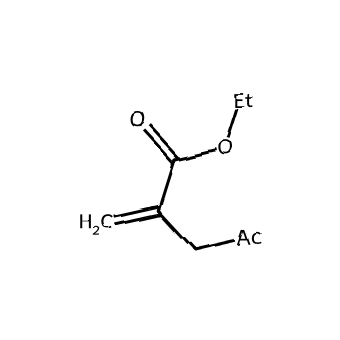 C=C(CC(C)=O)C(=O)OCC